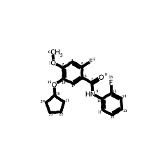 COc1cc(F)c(C(=O)Nc2ccccc2F)cc1OC1CCCC1